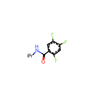 CC(C)NC(=O)c1cc(F)c(F)cc1F